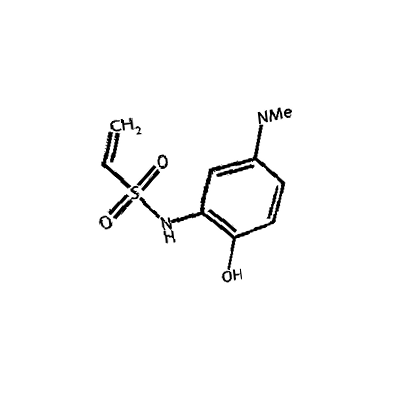 C=CS(=O)(=O)Nc1cc(NC)ccc1O